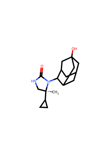 C[C@]1(C2CC2)CNC(=O)N1C1C2CC3CC1CC(O)(C3)C2